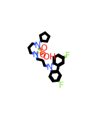 O=S1(=O)N(CC(O)Cn2c3ccc(F)cc3c3cc(F)ccc32)CCCN1C1CCCC1